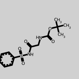 CC(C)(C)OC(=O)NCC(=O)NS(=O)(=O)c1ccccc1